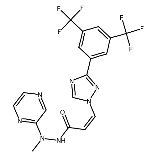 CN(NC(=O)/C=C\n1cnc(-c2cc(C(F)(F)F)cc(C(F)(F)F)c2)n1)c1cnccn1